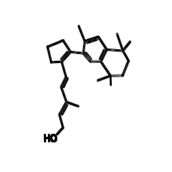 CC(/C=C/C1=C(c2cc3c(cc2C)C(C)(C)CCC3(C)C)CCC1)=C\CO